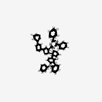 c1ccc(-c2cccc(-c3ccc(-c4cccc5oc6c(ccc7c6c6ccccc6n7-c6ccccc6)c45)c(-c4nc(-c5ccccc5)nc(-c5ccccc5)n4)c3)c2)cc1